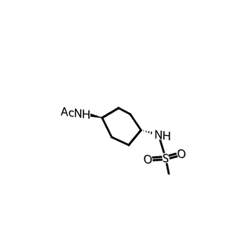 CC(=O)N[C@H]1CC[C@H](NS(C)(=O)=O)CC1